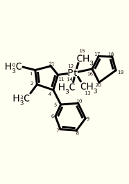 CC1=C(C)C(c2ccccc2)=[C]([Pt]([CH3])([CH3])([CH3])[C]2=CC=CC2)C1